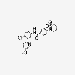 COc1ccc(-c2cc(NC(=O)c3ccc(N4CCCCS4(=O)=O)cc3)ccc2Cl)nc1